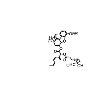 C=C(/C=C\C=C/C)[C@H](OC(=O)CCN[C@@](C)(O)C=O)C(=O)OC1=CC[C@@]2(O)[C@H]3Cc4ccc(OC)c5c4C2(CCN3C)C1O5